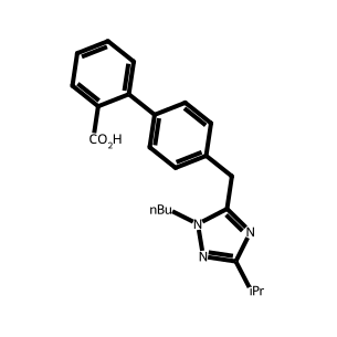 CCCCn1nc(C(C)C)nc1Cc1ccc(-c2ccccc2C(=O)O)cc1